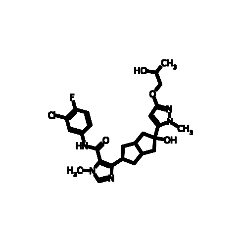 CC(O)COc1cc(C2(O)CC3CC(c4ncn(C)c4C(=O)Nc4ccc(F)c(Cl)c4)CC3C2)n(C)n1